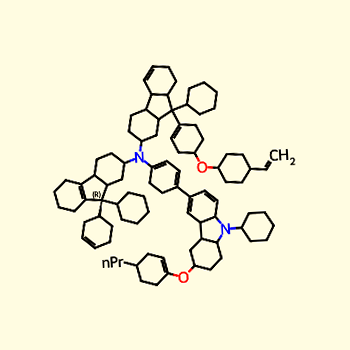 C=CC1CCC(OC2CC=C(C3(C4CCCCC4)C4CCC=CC4C4CCC(N(C5=CC=C(C6=CC7C8CC(OC9=CCC(CCC)CC9)CCC8N(C8CCCCC8)C7C=C6)CC5)C5CCC6C7=C(CCCC7)[C@@](C7CC=CCC7)(C7CCCCC7)C6C5)CC43)CC2)CC1